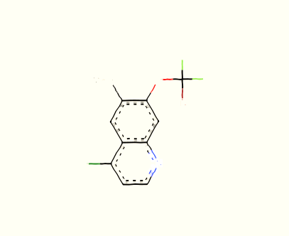 COc1cc2c(Cl)ccnc2cc1OC(F)(F)Br